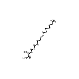 CCCCCCCCCCCCCCCC[C@H](O)C(=O)O